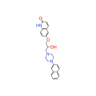 O=c1ccc2cc(OCC(O)CN3CCN(c4ccc5ccccc5c4)CC3)ccc2[nH]1